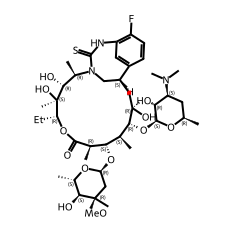 CC[C@H]1OC(=O)[C@H](C)[C@@H](O[C@H]2C[C@@](C)(OC)[C@@H](O)[C@H](C)O2)[C@H](C)[C@@H](O[C@@H]2O[C@H](C)C[C@H](N(C)C)[C@H]2O)[C@](C)(O)C[C@@H]2CN(C(=S)Nc3cc2ccc3F)[C@H](C)[C@@H](O)[C@]1(C)O